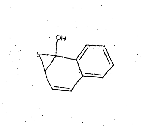 OC12SC1C=Cc1ccccc12